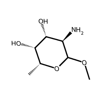 COC1O[C@H](C)[C@H](O)[C@H](O)[C@H]1N